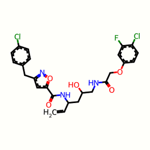 C=CC(CC(O)CNC(=O)COc1ccc(Cl)c(F)c1)NC(=O)c1cc(Cc2ccc(Cl)cc2)no1